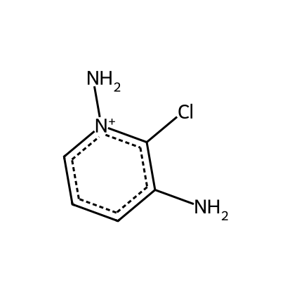 Nc1ccc[n+](N)c1Cl